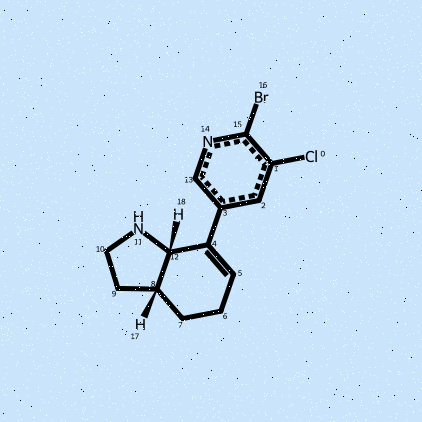 Clc1cc(C2=CCC[C@@H]3CCN[C@H]23)cnc1Br